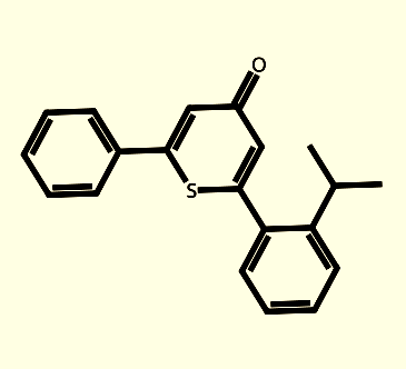 CC(C)c1ccccc1-c1cc(=O)cc(-c2ccccc2)s1